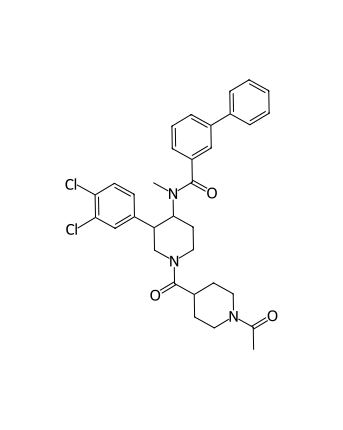 CC(=O)N1CCC(C(=O)N2CCC(N(C)C(=O)c3cccc(-c4ccccc4)c3)C(c3ccc(Cl)c(Cl)c3)C2)CC1